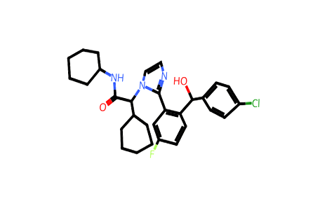 O=C(NC1CCCCC1)C(C1CCCCC1)n1ccnc1-c1cc(F)ccc1C(O)c1ccc(Cl)cc1